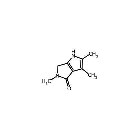 Cc1[nH]c2c(c1C)C(=O)N(C)C2